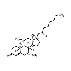 CCCCCCC(=O)O[C@H]1CC[C@H]2[C@H]3[C@H]([C@@H](C)C[C@]12C)[C@H]1CCC(=O)C=C1C[C@H]3C